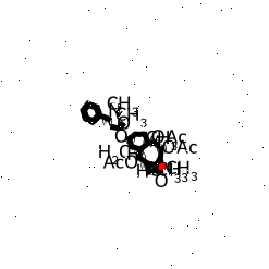 C=C1[C@@H](OC(=O)C[C@H](c2ccccc2)N(C)C)CC[C@@]2(C)[C@@H](OC(C)=O)[C@H](OC(C)=O)C3=C(C)C(=O)C[C@@H]([C@@H](OC(C)=O)[C@H]12)C3(C)C